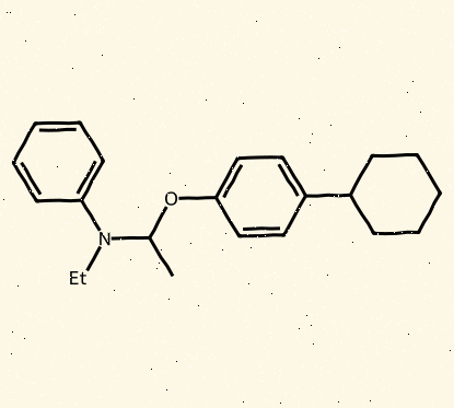 CCN(c1ccccc1)C(C)Oc1ccc(C2CCCCC2)cc1